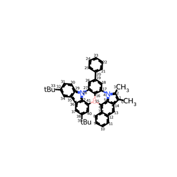 Cc1c(C)n2c3c(c4ccccc4cc13)B1c3c-2cc(-c2ccccc2)cc3-n2c3ccc(C(C)(C)C)cc3c3cc(C(C)(C)C)cc1c32